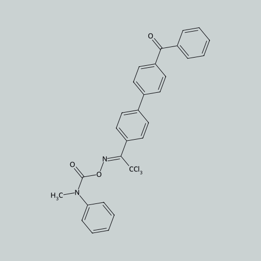 CN(C(=O)O/N=C(/c1ccc(-c2ccc(C(=O)c3ccccc3)cc2)cc1)C(Cl)(Cl)Cl)c1ccccc1